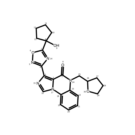 O=c1c2c(-c3noc(C4(O)CCCC4)n3)ncn2c2ccccc2n1CC1CCCO1